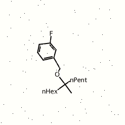 CCCCCCC(C)(CCCCC)OCc1cccc(F)c1